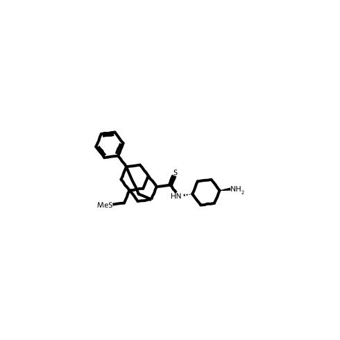 CSCC12CC3CC(c4ccccc4)(CC(C1)C3C(=S)N[C@H]1CC[C@H](N)CC1)C2